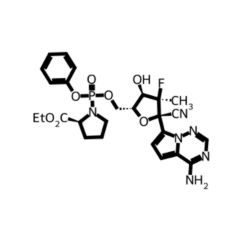 CCOC(=O)[C@@H]1CCCN1P(=O)(OC[C@H]1O[C@@](C#N)(c2ccc3c(N)ncnn23)[C@](C)(F)[C@@H]1O)Oc1ccccc1